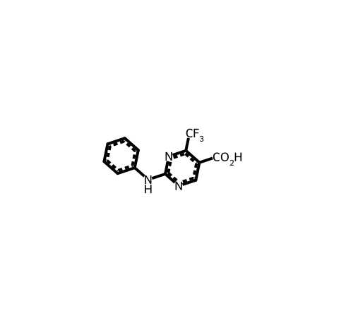 O=C(O)c1cnc(Nc2ccccc2)nc1C(F)(F)F